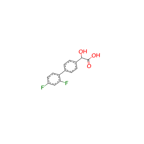 O=C(O)C(O)c1ccc(-c2ccc(F)cc2F)cc1